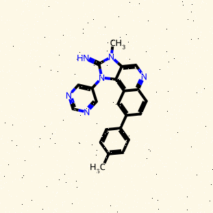 Cc1ccc(-c2ccc3ncc4c(c3c2)n(-c2cncnc2)c(=N)n4C)cc1